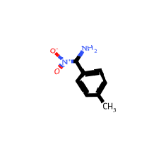 Cc1ccc(C(N)[N+](=O)[O-])cc1